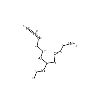 CCOC(COCCN)OCCN=[N+]=[N-]